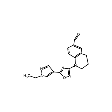 CCn1cc(-c2nc(N3CCCc4cc(C=O)ccc43)no2)cn1